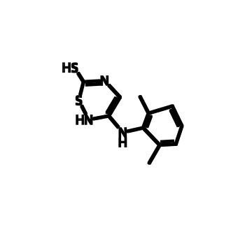 Cc1cccc(C)c1NC1=CN=C(S)SN1